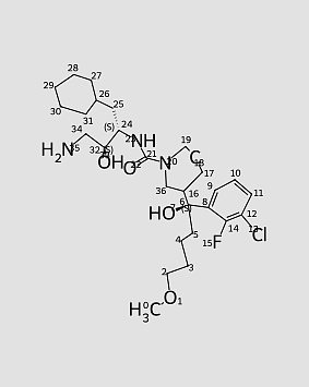 COCCCC[C@@](O)(c1cccc(Cl)c1F)C1CCCN(C(=O)N[C@@H](CC2CCCCC2)[C@@H](O)CN)C1